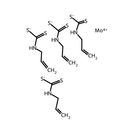 C=CCNC(=S)[S-].C=CCNC(=S)[S-].C=CCNC(=S)[S-].C=CCNC(=S)[S-].[Mo+4]